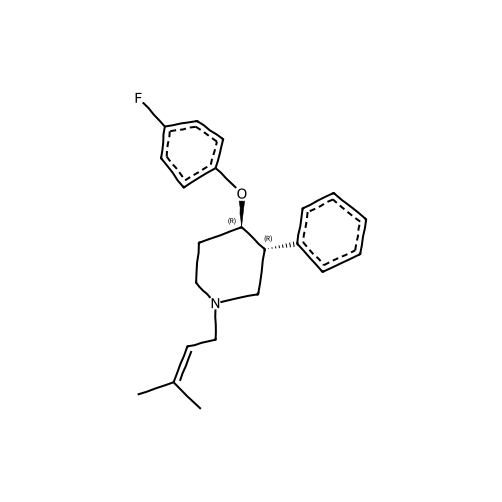 CC(C)=CCN1CC[C@@H](Oc2ccc(F)cc2)[C@H](c2ccccc2)C1